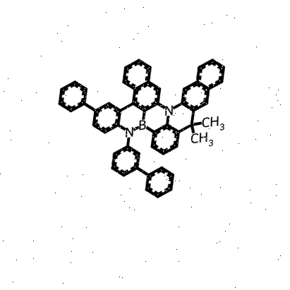 CC1(C)c2cc3ccccc3cc2N2c3cc4ccccc4c4c3B(c3cccc1c32)N(c1cccc(-c2ccccc2)c1)c1ccc(-c2ccccc2)cc1-4